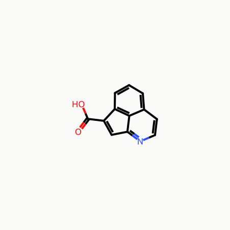 O=C(O)C1=Cc2nccc3cccc1c23